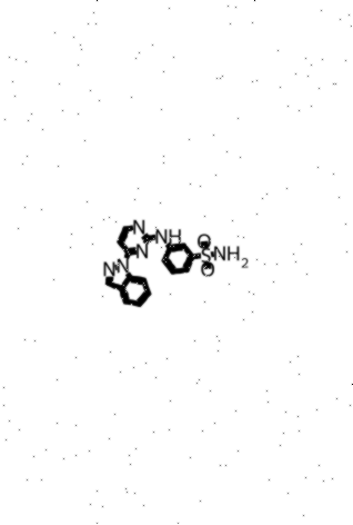 NS(=O)(=O)c1cccc(Nc2nccc(-n3ncc4ccccc43)n2)c1